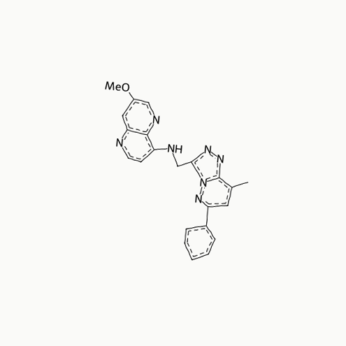 COc1cnc2c(NCc3nnc4c(C)cc(-c5ccccc5)nn34)ccnc2c1